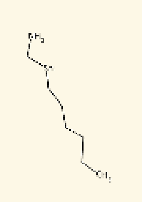 CCCCC[CH2][Sn][CH2]N